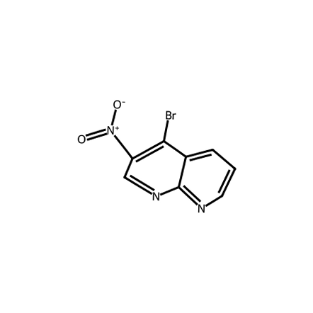 O=[N+]([O-])c1cnc2ncccc2c1Br